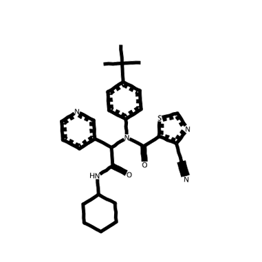 CC(C)(C)c1ccc(N(C(=O)c2scnc2C#N)C(C(=O)NC2CCCCC2)c2cccnc2)cc1